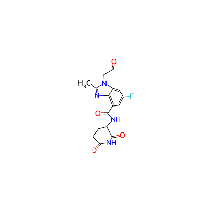 Cc1nc2c(C(=O)NC3CCC(=O)NC3=O)cc(F)cc2n1CC=O